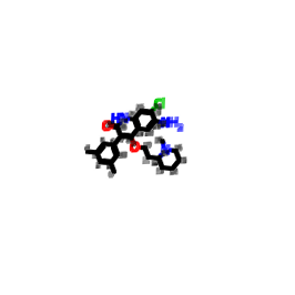 Cc1cc(C)cc(-c2c(OCCC3CCCCN3C)c3cc(N)c(Cl)cc3[nH]c2=O)c1